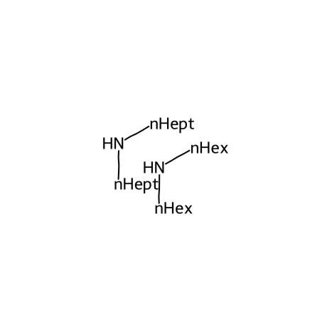 CCCCCCCNCCCCCCC.CCCCCCNCCCCCC